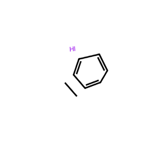 CC.I.c1ccccc1